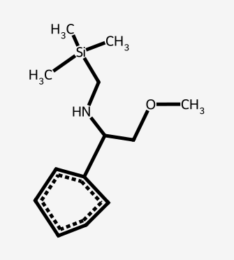 COCC(NC[Si](C)(C)C)c1ccccc1